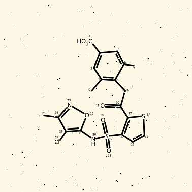 Cc1cc(C(=O)O)cc(C)c1CC(=O)c1sccc1S(=O)(=O)Nc1onc(C)c1Cl